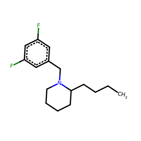 CCCCC1CCCCN1Cc1cc(F)cc(F)c1